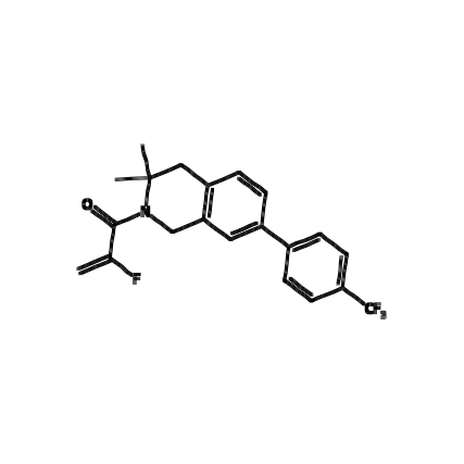 C=C(F)C(=O)N1Cc2cc(-c3ccc(C(F)(F)F)cc3)ccc2CC1(C)C